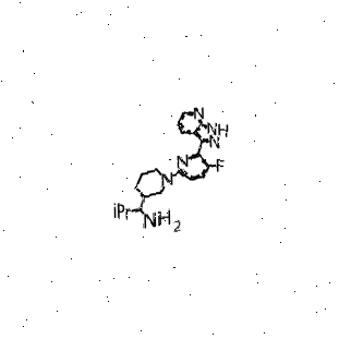 CC(C)C(N)[C@H]1CCCN(c2ccc(F)c(-c3n[nH]c4ncccc34)n2)C1